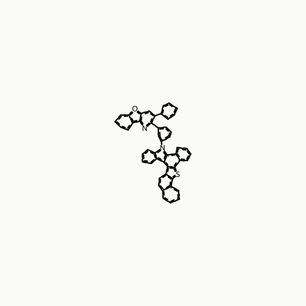 c1ccc(-c2cc3oc4ccccc4c3nc2-c2cccc(-n3c4ccccc4c4c5c6ccc7ccccc7c6sc5c5ccccc5c43)c2)cc1